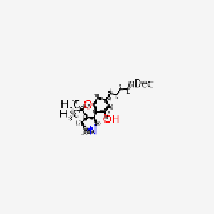 CCCCCCCCCCCCCCc1cc(O)c2c(c1)OC(C)(C)c1ccncc1-2